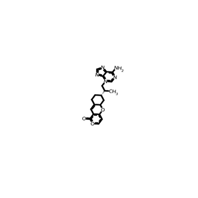 CC(Cn1cnc(N)c2ncnc1-2)[C@H]1CCC2=Cc3c(ccoc3=O)OC2C1